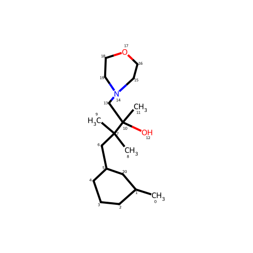 CC1CCCC(CC(C)(C)C(C)(O)CN2CCOCC2)C1